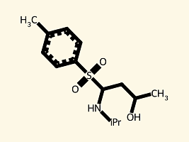 Cc1ccc(S(=O)(=O)C(CC(C)O)NC(C)C)cc1